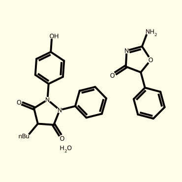 CCCCC1C(=O)N(c2ccccc2)N(c2ccc(O)cc2)C1=O.NC1=NC(=O)C(c2ccccc2)O1.O